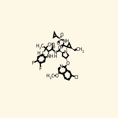 C=C[C@@H]1C[C@@]1(C(=O)NS(=O)(=O)C1CC1)N1C[C@H](Oc2ncc(OC)c3ccc(Cl)cc23)C[C@H]1C(=O)NC(=O)[C@@H](Nc1ccc(F)c(F)c1)C(C)(C)C